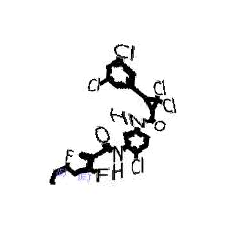 C=C(C(=O)Nc1cc(NC(=O)C2C(c3cc(Cl)cc(Cl)c3)C2(Cl)Cl)ccc1Cl)/C(F)=C\C(F)=C/C